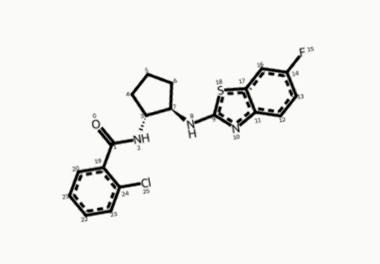 O=C(N[C@@H]1CCC[C@H]1Nc1nc2ccc(F)cc2s1)c1ccccc1Cl